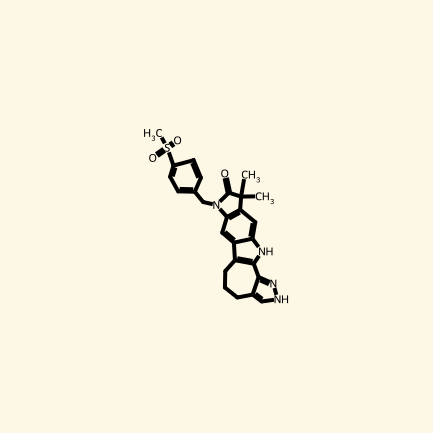 CC1(C)C(=O)N(Cc2ccc(S(C)(=O)=O)cc2)c2cc3c4c([nH]c3cc21)-c1n[nH]cc1CCC4